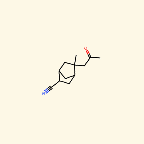 CC(=O)CC1(C)CC2CC1CC2C#N